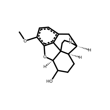 COc1ccc2c3c1O[C@@H]1C(O)CC[C@@H]4[C@H](C2)NCCC314